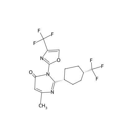 Cc1cc(=O)n(-c2nc(C(F)(F)F)co2)c([C@H]2CC[C@@H](C(F)(F)F)CC2)n1